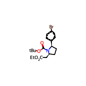 CCOC(=O)C[C@@H]1CC[C@H](c2ccc(Br)cc2)N1C(=O)OC(C)(C)C